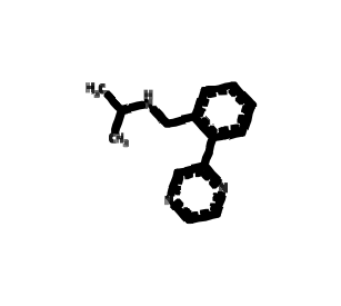 CC(C)NCc1ccccc1-c1cnccn1